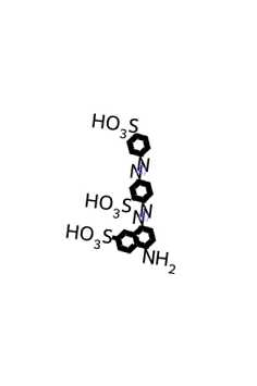 Nc1ccc(/N=N/c2ccc(/N=N/c3ccc(S(=O)(=O)O)cc3)cc2S(=O)(=O)O)c2cc(S(=O)(=O)O)ccc12